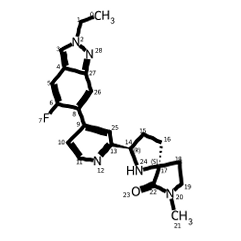 CCn1cc2cc(F)c(-c3ccnc([C@H]4CC[C@@]5(CCN(C)C5=O)N4)c3)cc2n1